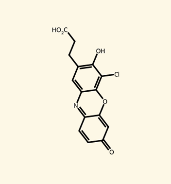 O=C(O)CCc1cc2nc3ccc(=O)cc-3oc2c(Cl)c1O